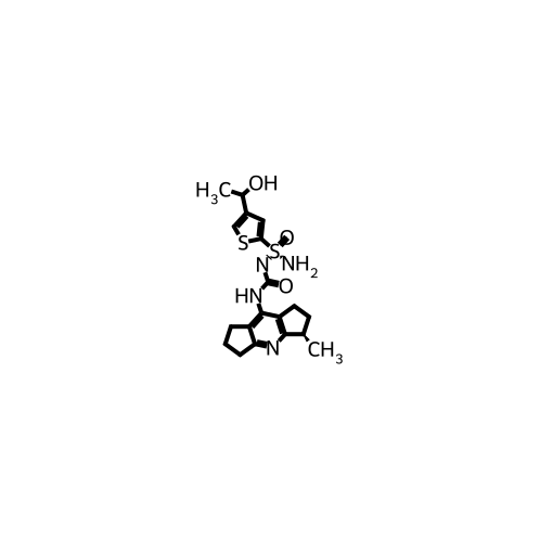 CC(O)c1csc([S@](N)(=O)=NC(=O)Nc2c3c(nc4c2CC[C@H]4C)CCC3)c1